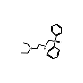 CCN(CC)CCNCP(=O)(c1ccccc1)c1ccccc1